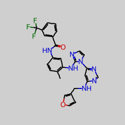 Cc1ccc(NC(=O)c2cccc(C(F)(F)F)c2)cc1Nc1nccn1-c1cc(NCc2ccoc2)ncn1